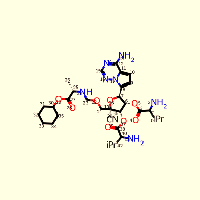 CC(C)C(N)C(=O)O[C@H]1[C@H](c2ccc3c(N)ncnn23)O[C@](C#N)(COCN[C@@H](C)C(=O)OC2CCCCC2)[C@H]1OC(=O)C(N)C(C)C